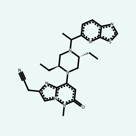 CC[C@H]1CN(C(C)c2ccc3ncsc3n2)[C@H](CC)CN1c1cc(=O)n(C)n2cc(CC#N)nc12